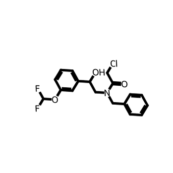 O=C(CCl)N(Cc1ccccc1)CC(O)c1cccc(OC(F)F)c1